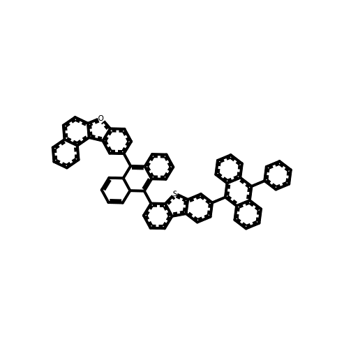 C1=CC2C(c3ccc4oc5ccc6ccccc6c5c4c3)=c3ccccc3=C(c3cccc4c3sc3cc(-c5c6ccccc6c(-c6ccccc6)c6ccccc56)ccc34)C2C=C1